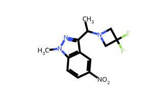 CC(c1nn(C)c2ccc([N+](=O)[O-])cc12)N1CC(F)(F)C1